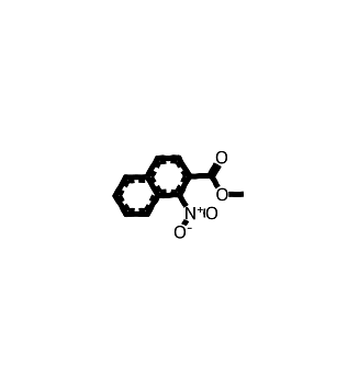 COC(=O)c1ccc2ccccc2c1[N+](=O)[O-]